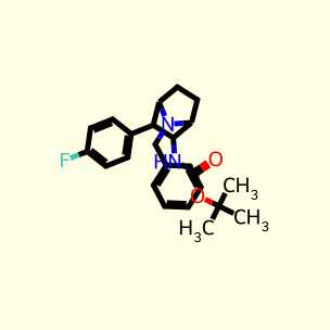 CC(C)(C)OC(=O)NC1C(c2ccc(F)cc2)C2CCC1N2Cc1ccccc1